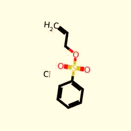 C=CCOS(=O)(=O)c1ccccc1.[C]